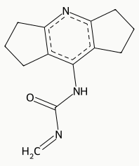 C=NC(=O)Nc1c2c(nc3c1CCC3)CCC2